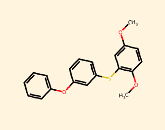 COc1ccc(OC)c(Sc2cccc(Oc3ccccc3)c2)c1